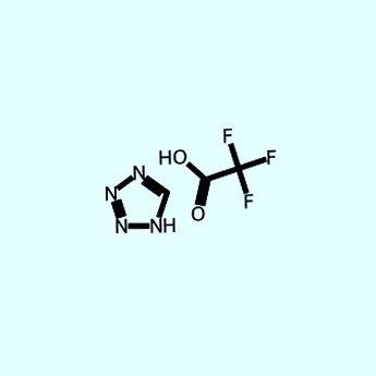 O=C(O)C(F)(F)F.c1nnn[nH]1